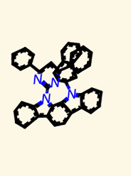 c1ccc(-c2cc(-c3ccccc3)nc(-n3c4ccccc4c4ccc5c6ccccc6n(-c6ccc7ccccc7c6)c5c43)n2)cc1